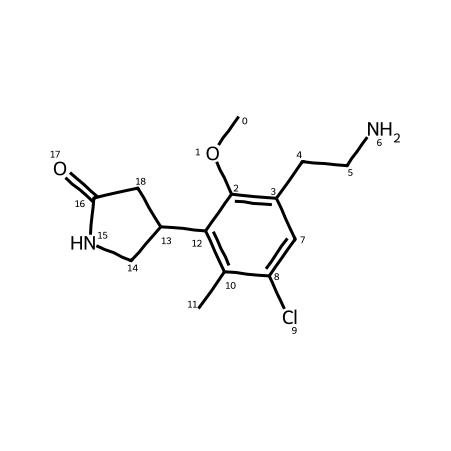 COc1c(CCN)cc(Cl)c(C)c1C1CNC(=O)C1